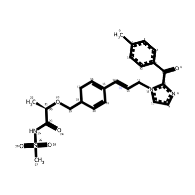 Cc1ccc(C(=O)c2nccn2C/C=C/C2=CCC(CO[C@H](C)C(=O)NS(C)(=O)=O)C=C2)cc1